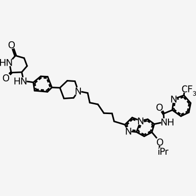 CC(C)Oc1cc2nc(CCCCCCN3CCC(c4ccc(NC5CCC(=O)NC5=O)cc4)CC3)cn2cc1NC(=O)c1cccc(C(F)(F)F)n1